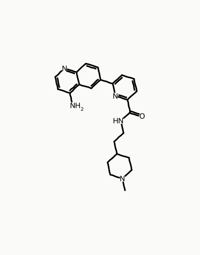 CN1CCC(CCNC(=O)c2cccc(-c3ccc4nccc(N)c4c3)n2)CC1